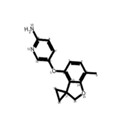 Cc1ccc(Oc2ccc(N)nc2)c2c1OCC21CC1